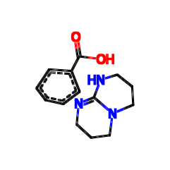 C1CN=C2NCCCN2C1.O=C(O)c1ccccc1